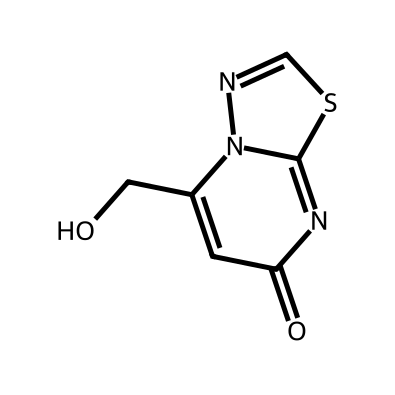 O=c1cc(CO)n2ncsc2n1